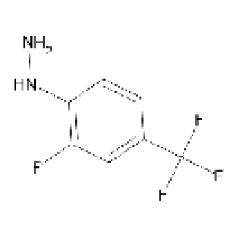 NNc1ccc(C(F)(F)F)cc1F